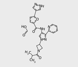 CC(C)C(=O)N1CC(n2cc(NC(=O)c3ccc(-c4cn[nH]c4)o3)c(-c3ccccn3)n2)C1.O=CO